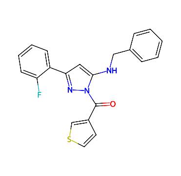 O=C(c1ccsc1)n1nc(-c2ccccc2F)cc1NCc1ccccc1